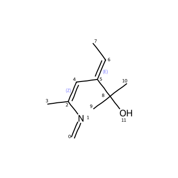 C=N/C(C)=C\C(=C/C)C(C)(C)O